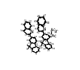 CC(=O)CC(C)=O.CC1(C)c2ccccc2-c2ccc(-c3ccc4ccccc4n3)cc21.CC1(C)c2ccccc2-c2ccc(-c3ccc4ccccc4n3)cc21.[Ir]